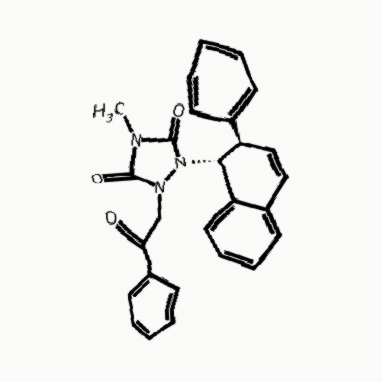 Cn1c(=O)n(CC(=O)c2ccccc2)n([C@H]2c3ccccc3C=C[C@@H]2c2ccccc2)c1=O